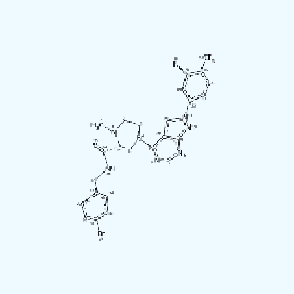 CN1CCN(c2ncnc3nn(-c4ccc(C(F)(F)F)c(F)c4)cc23)C[C@@H]1C(=O)NCc1ccc(Br)cc1